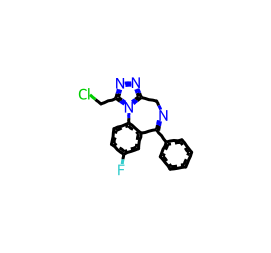 Fc1ccc2c(c1)C(c1ccccc1)=NCc1nnc(CCl)n1-2